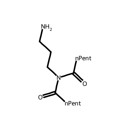 CCCCCC(=O)N(CCCN)C(=O)CCCCC